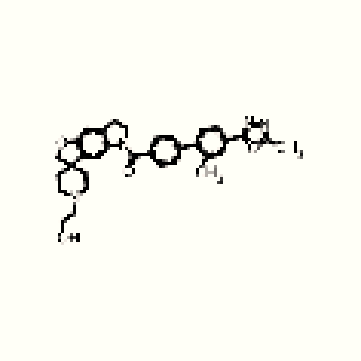 Cc1nnc(-c2ccc(-c3ccc(C(=O)N4CCc5cc6c(cc54)C4(CCN(CCO)CC4)CO6)cc3)c(C)c2)o1